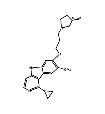 COc1cc2c(cc1OCCCN1CC[C@@H](F)C1)[nH]c1ccnc(C3CC3)c12